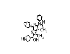 CCc1nc2ccccc2n1-c1nc(N2CCOCC2)c2nc(C(O)C3CCNCC3)n(C)c2n1